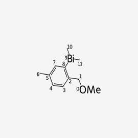 COCc1ccc(C)c[c]1[Bi]([CH3])[CH3]